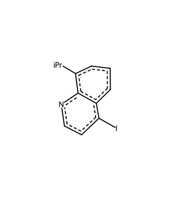 CC(C)c1cccc2c(I)ccnc12